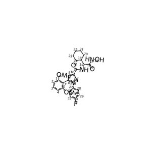 COc1cccc(OC)c1-c1cc(C(=O)NC(C(=O)NO)C2CCCCC2)nn1-c1ccc(F)cc1